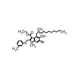 CCCCCCCCCN(C)Cc1c(O)c(Br)cc2c1c(C(=O)OCC)c(CSc1cccc(C)c1)n2C